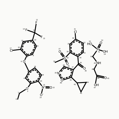 CCOc1cc(Oc2ccc(C(F)(F)F)cc2Cl)ccc1[N+](=O)[O-].CS(=O)(=O)c1cc(Cl)ccc1C(=O)c1cnoc1C1CC1.O=C(O)CNCP(=O)(O)O